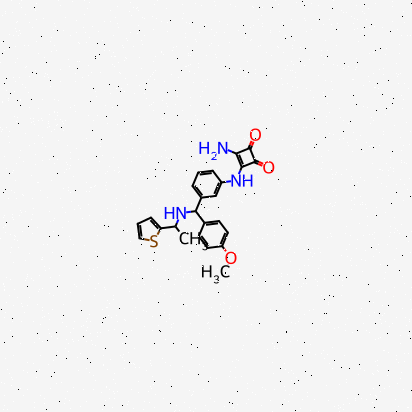 COc1ccc(C(NC(C)c2cccs2)c2cccc(Nc3c(N)c(=O)c3=O)c2)cc1